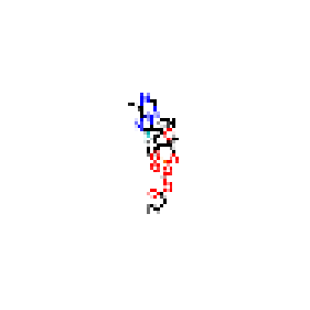 Cc1ncnn2c([C@]3(C#N)O[C@@H]4COP(=O)(OCOC(=O)CC(C)C)O[C@H]4[C@@]3(C)F)cnc12